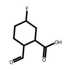 O=CC1CCC(F)CC1C(=O)O